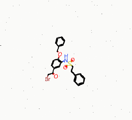 O=C(CBr)c1ccc(OCc2ccccc2)c(NS(=O)(=O)CCc2ccccc2)c1